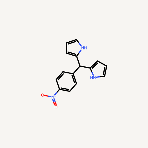 O=[N+]([O-])c1ccc(C(c2ccc[nH]2)c2ccc[nH]2)cc1